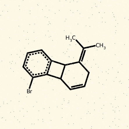 CC(C)=C1CC=CC2c3c(Br)cccc3C12